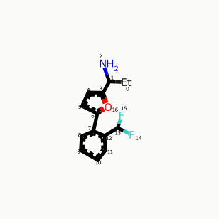 CCC(N)c1ccc(-c2ccccc2C(F)F)o1